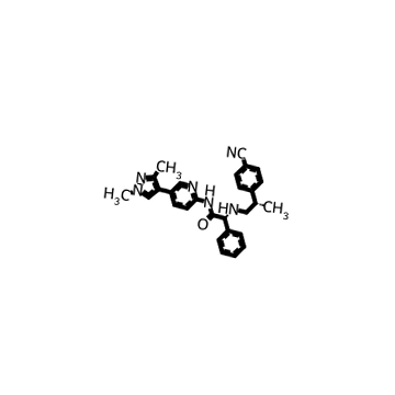 Cc1nn(C)cc1-c1ccc(NC(=O)[C@H](NC[C@@H](C)c2ccc(C#N)cc2)c2ccccc2)nc1